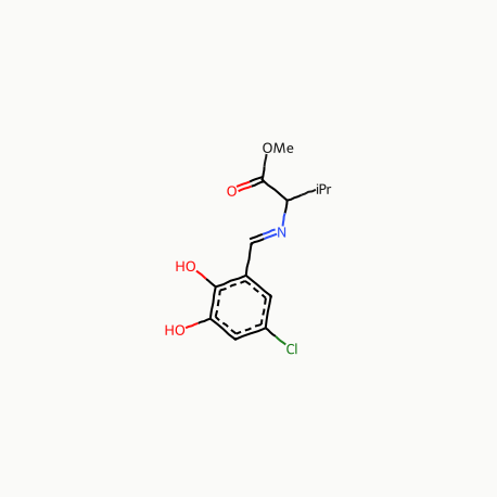 COC(=O)C(N=Cc1cc(Cl)cc(O)c1O)C(C)C